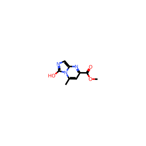 COC(=O)c1cc(C)n2c(O)ncc2n1